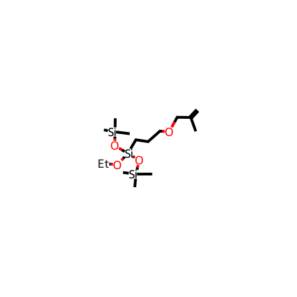 C=C(C)COCCC[Si](OCC)(O[Si](C)(C)C)O[Si](C)(C)C